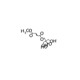 COC(=O)/C=C/C(=O)OCC(CO)(CO)C(=O)O